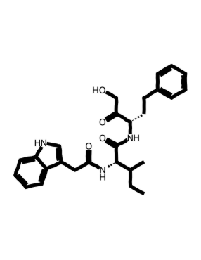 CCC(C)[C@H](NC(=O)Cc1c[nH]c2ccccc12)C(=O)N[C@@H](CCc1ccccc1)C(=O)CO